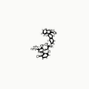 CCCC1(CCC)N=C(c2c(Cl)cccc2Cl)N(CC(=O)Nc2ccc3c(c2)CC2(C3)C(=O)Nc3ncccc32)C1=O